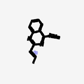 C/C=C/c1nc(NC)c2ccccc2n1